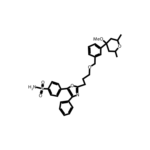 COC1(c2cccc(COCCCc3nc(-c4ccccc4)c(-c4ccc(S(N)(=O)=O)cc4)o3)c2)CC(C)OC(C)C1